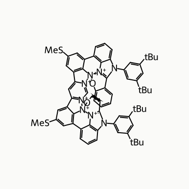 CSc1cc2c3c(c1)-c1cc4[n+](c[n+]1[N+]31Oc3ccccc3-c3n(-c5cc(C(C)(C)C)cc(C(C)(C)C)c5)c5cccc-2c5[n+]31)[N+]12Oc3ccccc3-c3n(-c5cc(C(C)(C)C)cc(C(C)(C)C)c5)c5cccc(c5[n+]31)-c1cc(SC)cc-4c12